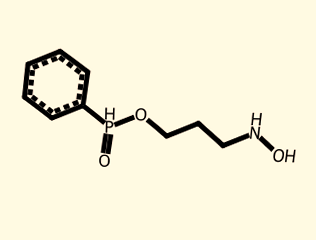 O=[PH](OCCCNO)c1ccccc1